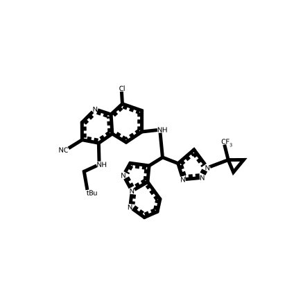 CC(C)(C)CNc1c(C#N)cnc2c(Cl)cc(NC(c3cn(C4(C(F)(F)F)CC4)nn3)c3cnn4ncccc34)cc12